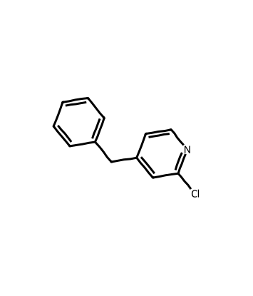 Clc1cc(Cc2ccccc2)ccn1